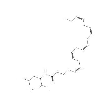 CC/C=C\C/C=C\C/C=C\C/C=C\C/C=C\CCCC(=O)NC(CC(C)C)C(O)O